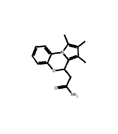 Cc1c(C)c2n(c1C)-c1ccccc1OC2CC(N)=O